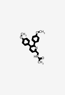 COc1ccc(-c2ccc(CNC(C)=O)nc2-c2ccc(OC)cc2)cc1